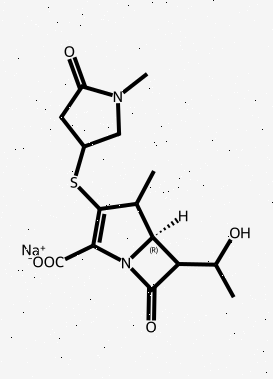 CC(O)C1C(=O)N2C(C(=O)[O-])=C(SC3CC(=O)N(C)C3)C(C)[C@@H]12.[Na+]